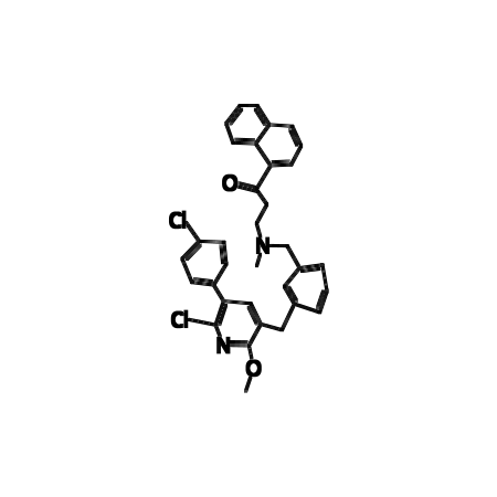 COc1nc(Cl)c(-c2ccc(Cl)cc2)cc1Cc1cccc(CN(C)CCC(=O)c2cccc3ccccc23)c1